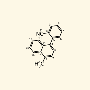 Cc1ccc(-c2ccccc2C#N)c2ccccc12